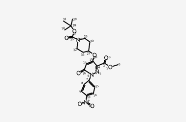 COC(=O)c1nn(-c2ccc([N+](=O)[O-])cc2)c(=O)cc1OC1CCN(C(=O)OC(C)(C)C)CC1